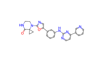 O=C1NCCN(c2ncc(-c3cccc(Nc4nccc(-c5cccnc5)n4)c3)o2)C12CC2